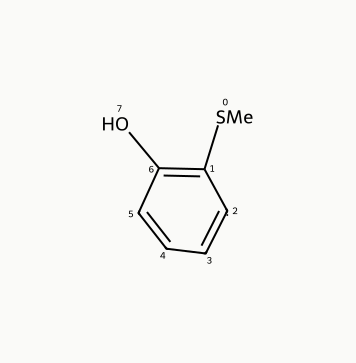 CSc1[c]cccc1O